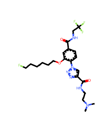 CN(C)CCNC(=O)c1cn(-c2ccc(C(=O)NCC(F)(F)F)cc2OCCCCCCF)nn1